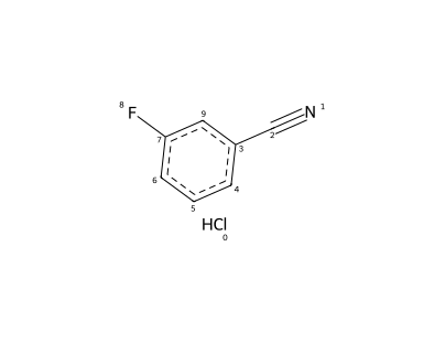 Cl.N#Cc1cccc(F)c1